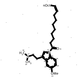 CCCCCCCC/C=C\CCCCCCCC(=O)n1cc(CCN(C)C)c2cc(OC)ccc21